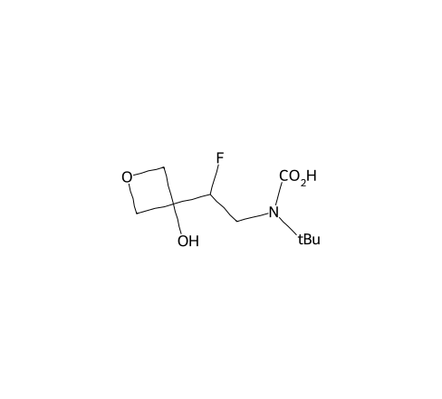 CC(C)(C)N(CC(F)C1(O)COC1)C(=O)O